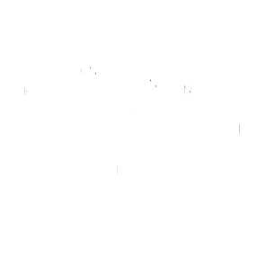 N#CC(c1ccc(Cl)nn1)c1c(F)cccc1F